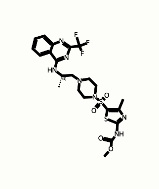 COC(=O)Nc1nc(C)c(S(=O)(=O)N2CCN(C[C@H](C)Nc3nc(C(F)(F)F)nc4ccccc34)CC2)s1